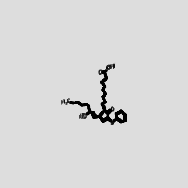 CCCCCC(O)C=CC1C=C(Sc2ccccc2)C(=O)C1=CCCCCCCCC(=O)O